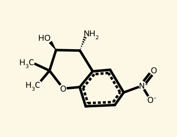 CC1(C)Oc2ccc([N+](=O)[O-])cc2[C@@H](N)[C@@H]1O